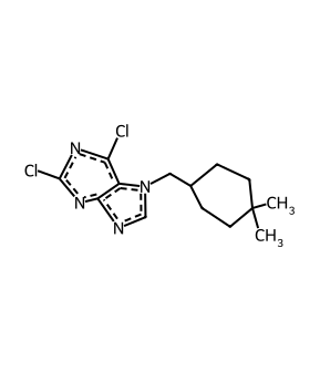 CC1(C)CCC(Cn2cnc3nc(Cl)nc(Cl)c32)CC1